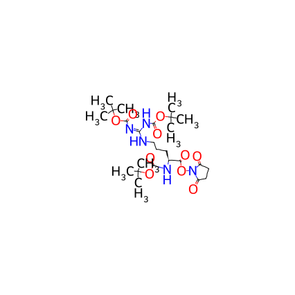 CC(C)(C)OC(=O)/N=C(/NCCC[C@H](NC(=O)OC(C)(C)C)C(=O)ON1C(=O)CCC1=O)NC(=O)OC(C)(C)C